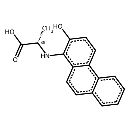 C[C@H](Nc1c(O)ccc2c1ccc1ccccc12)C(=O)O